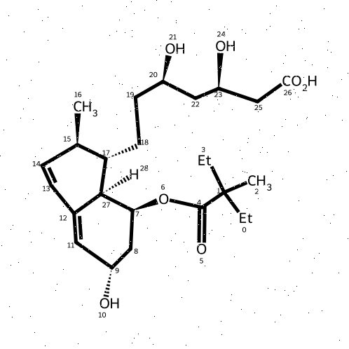 CCC(C)(CC)C(=O)O[C@H]1C[C@H](O)C=C2C=C[C@@H](C)[C@H](CC[C@@H](O)C[C@@H](O)CC(=O)O)[C@H]21